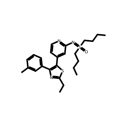 CCCCS(=O)(CCCC)=Nc1cc(-c2sc(CC)nc2-c2cccc(C)c2)ccn1